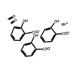 O=C([O-])c1ccccc1O.O=C([O-])c1ccccc1O.O=C([O-])c1ccccc1O.[C]=O.[C]=O.[Rh+3]